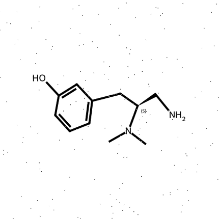 CN(C)[C@H](CN)Cc1cccc(O)c1